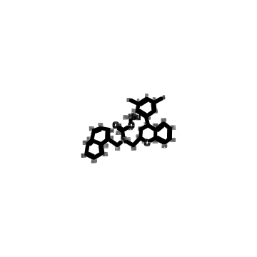 Cc1cc(C)cc(C2CC(CN(Cc3cccc4ccccc34)C(=O)OC(C)(C)C)Oc3ccccc32)c1